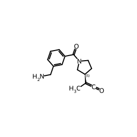 CC(=C=O)[C@@H]1CCN(C(=O)c2cccc(CN)c2)C1